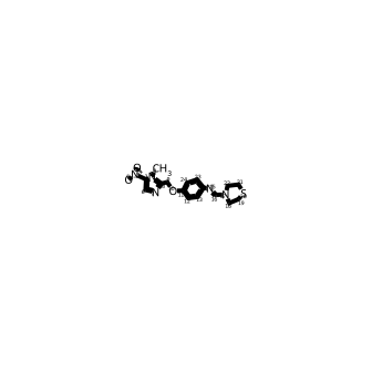 Cn1c([N+](=O)[O-])cnc1COc1ccc(N=CN2CCSCC2)cc1